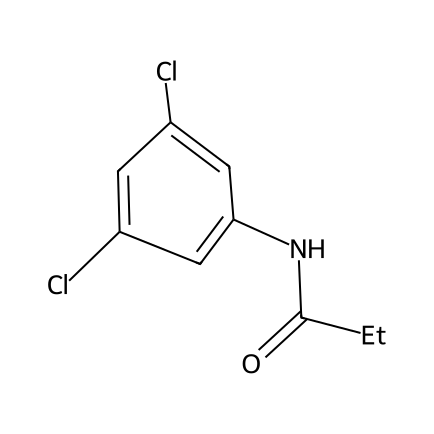 CCC(=O)Nc1cc(Cl)cc(Cl)c1